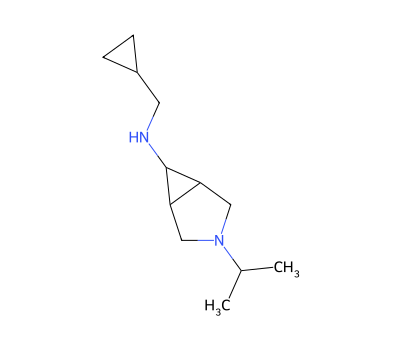 CC(C)N1CC2C(C1)C2NCC1CC1